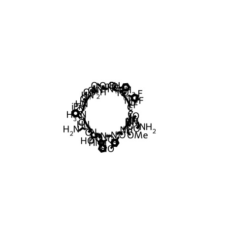 CCCC[C@H]1C(=O)N2CCOC[C@@H]2C(=O)N[C@@H](CC(=O)O)C(=O)N[C@@H](C(C)C)C(=O)N(C)[C@@H](Cc2ccccc2)C(=O)N[C@@H](CCCN)C(=O)N2C[C@H](O)C[C@@H]2C(=O)N[C@@H](Cc2c[nH]c3ccccc23)C(=O)N[C@@H](Cc2ccc(O)cc2)C(=O)N[C@@H](CCOC)C(=O)N[C@H](C(=O)NCC(N)=O)CSCC(=O)N[C@@H](Cc2cc(F)c(F)c(F)c2)C(=O)N(C)[C@@H](Cc2ccccc2)C(=O)N1C